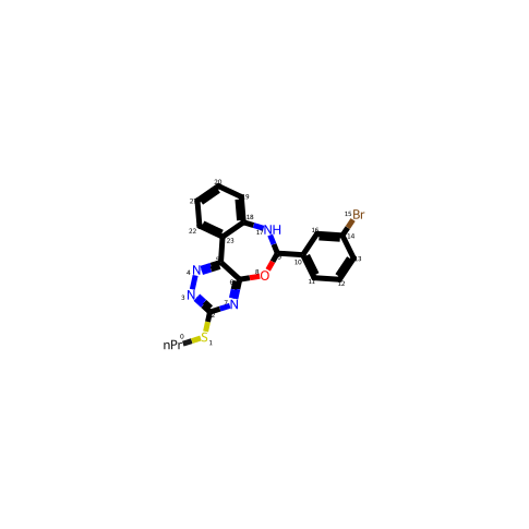 CCCSc1nnc2c(n1)OC(c1cccc(Br)c1)Nc1ccccc1-2